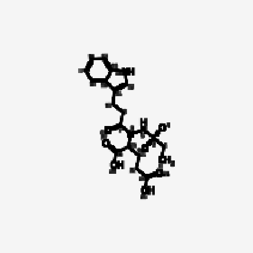 CCS(=O)(=O)NN(C(=O)CCc1c[nH]c2ccccc12)C(CCC(=O)O)C(=O)O